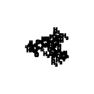 CC(C)(C)[C@H](Nc1nccs1)C(=O)N1C[C@H]2[C@@H]([C@H]1C(=O)N[C@@H](C[C@@H]1CC3(CC3)NC1=O)C(N)=O)C2(C)C